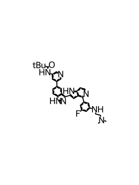 CN(C)CCNc1cc(F)cc(-c2nccc3[nH]c(-c4n[nH]c5ccc(-c6cncc(NC(=O)C(C)(C)C)c6)cc45)cc23)c1